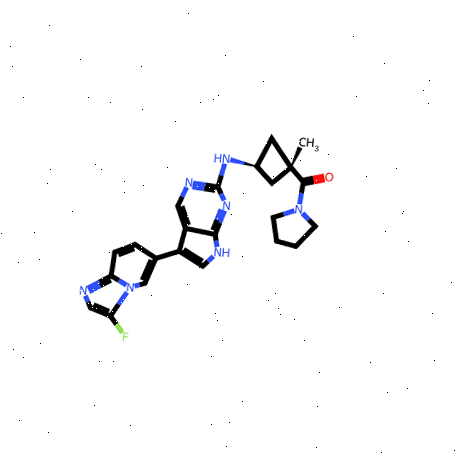 C[C@]1(C(=O)N2CCCC2)C[C@H](Nc2ncc3c(-c4ccc5ncc(F)n5c4)c[nH]c3n2)C1